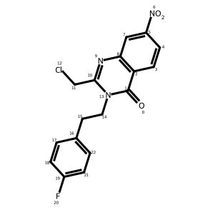 O=c1c2ccc([N+](=O)[O-])cc2nc(CCl)n1CCc1ccc(F)cc1